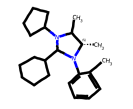 Cc1ccccc1N1C(C2CCCCC2)N(C2CCCC2)C(C)[C@@H]1C